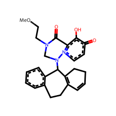 COCCN1CN(C2C3=C(C=CCC3)CCc3ccccc32)n2ccc(=O)c(O)c2C1=O